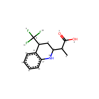 CC(C(=O)O)C1CC(C(F)(F)F)c2ccccc2N1